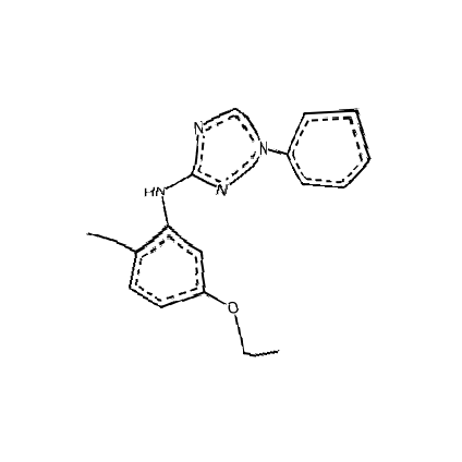 CCOc1ccc(C)c(Nc2ncn(-c3ccccc3)n2)c1